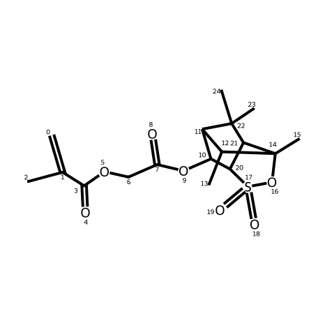 C=C(C)C(=O)OCC(=O)OC1C2C(C)C3(C)OS(=O)(=O)C1C3C2(C)C